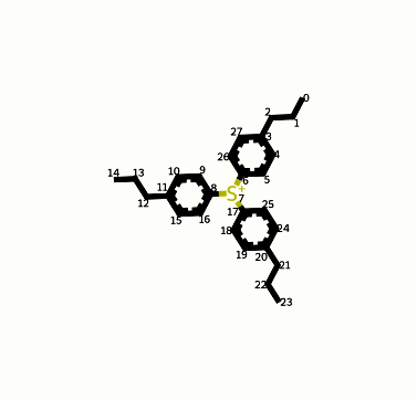 CCCc1ccc([S+](c2ccc(CCC)cc2)c2ccc(CCC)cc2)cc1